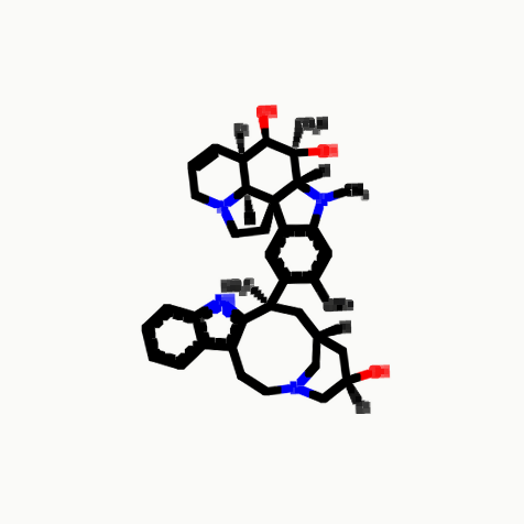 CC[C@]1(O)C[C@@H]2CN(CCc3c([nH]c4ccccc34)[C@@](C(=O)O)(c3cc4c(cc3OC)N(C)[C@H]3[C@@](O)(C(=O)O)[C@H](O)[C@]5(CC)C=CCN6CC[C@]43[C@@H]65)C2)C1